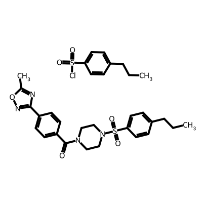 CCCc1ccc(S(=O)(=O)Cl)cc1.CCCc1ccc(S(=O)(=O)N2CCN(C(=O)c3ccc(-c4noc(C)n4)cc3)CC2)cc1